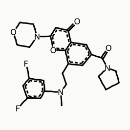 CN(CCc1cc(C(=O)N2CCCC2)cc2c(=O)cc(N3CCOCC3)oc12)c1cc(F)cc(F)c1